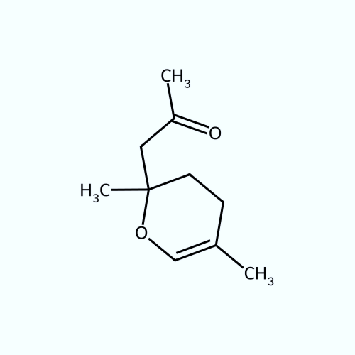 CC(=O)CC1(C)CCC(C)=CO1